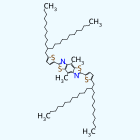 CCCCCCCCCCCCC(CCCCCCCCCC)Cc1ccc(-c2nc3c(C)c4sc(-c5ccc(CC(CCCCCCCCCC)CCCCCCCCCCCC)s5)nc4c(C)c3s2)s1